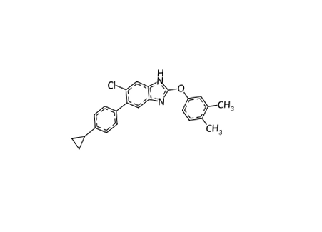 Cc1ccc(Oc2nc3cc(-c4ccc(C5CC5)cc4)c(Cl)cc3[nH]2)cc1C